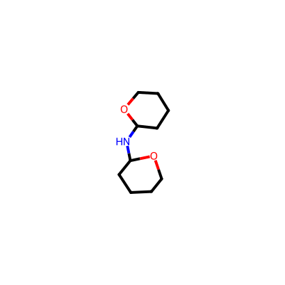 C1CCC(NC2CCCCO2)OC1